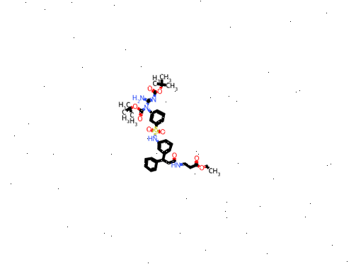 CCOC(=O)CCNC(=O)CC(c1ccccc1)c1cccc(NS(=O)(=O)c2cccc(N(C(=O)OC(C)(C)C)C(N)=NC(=O)OC(C)(C)C)c2)c1